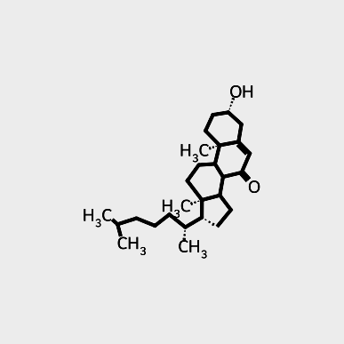 CC(C)CCC[C@@H](C)[C@H]1CCC2C3C(=O)C=C4C[C@@H](O)CC[C@]4(C)C3CC[C@@]21C